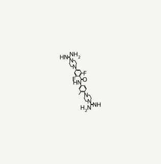 Cc1cc(NC(=O)c2c(F)cc(N3CCN(C(=N)N)CC3)cc2F)ccc1N1CCN(C(=N)N)CC1